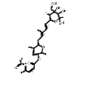 CCC(=O)OC(C)/C=C\C(=O)NC1CC(C)C(C/C=C(C)/C=C/C2OC(C)(O)C(O)C(O)(CO)C2O)OC1C